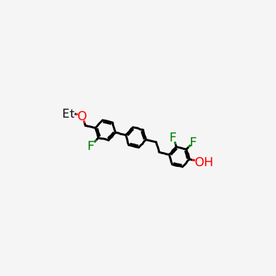 CCOCc1ccc(-c2ccc(CCc3ccc(O)c(F)c3F)cc2)cc1F